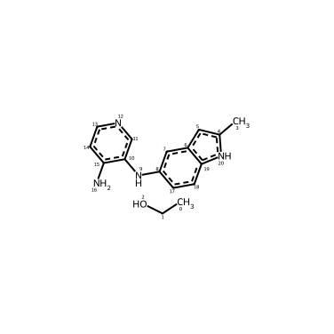 CCO.Cc1cc2cc(Nc3cnccc3N)ccc2[nH]1